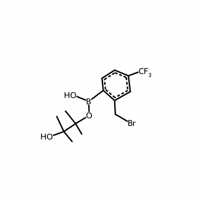 CC(C)(O)C(C)(C)OB(O)c1ccc(C(F)(F)F)cc1CBr